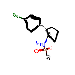 CC(C)S(=O)(=O)N[C@@H]1CCC[C@H]1c1ccc(Br)cc1